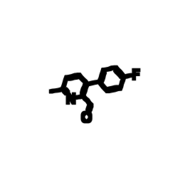 Cc1ccc(-c2ccc(F)cc2)c(C=O)n1